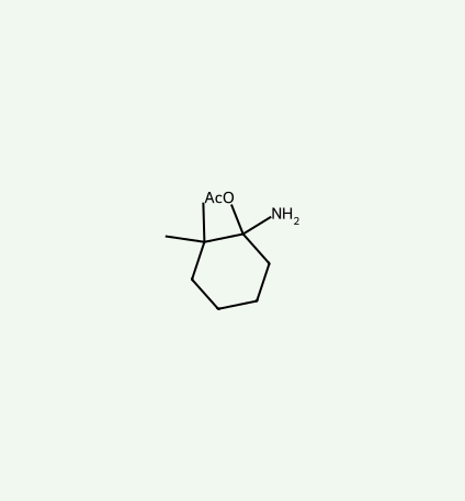 CC(=O)OC1(N)CCCCC1(C)C